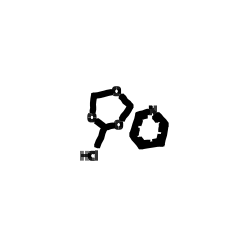 CC1OCOCO1.Cl.c1ccncc1